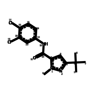 Cn1nc(C(C)(C)C)cc1C(=O)Nc1ccc(Cl)c(Cl)c1